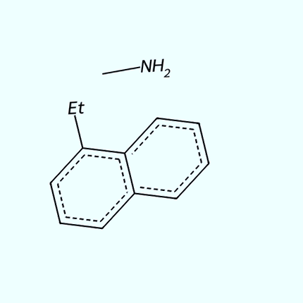 CCc1cccc2ccccc12.CN